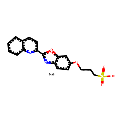 O=S(=O)(O)CCCOc1ccc2nc(-c3ccc4ccccc4n3)oc2c1.[NaH]